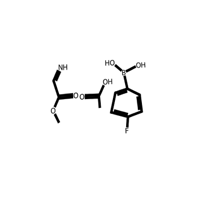 CC(=O)O.COC(=O)C=N.OB(O)c1ccc(F)cc1